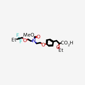 CCOC(Cc1ccc(OCCN(CCOCC(F)(F)CC)C(=O)OC)cc1)C(=O)O